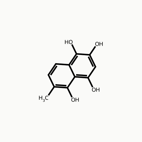 Cc1ccc2c(O)c(O)cc(O)c2c1O